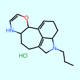 CCCN1CC2=C3C(=CCCC31)C1OC=CNC1CC2.Cl